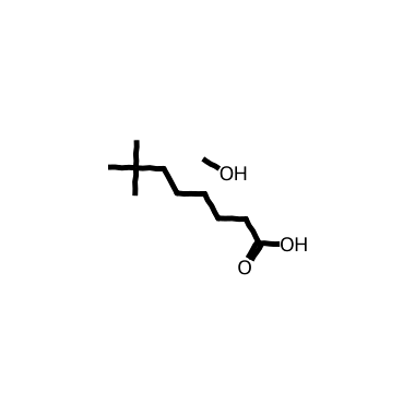 CC(C)(C)CCCCCC(=O)O.CO